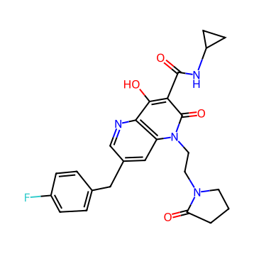 O=C(NC1CC1)c1c(O)c2ncc(Cc3ccc(F)cc3)cc2n(CCN2CCCC2=O)c1=O